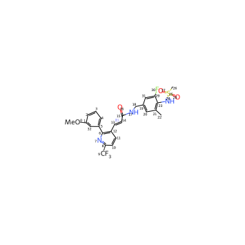 COc1cccc(-c2nc(C(F)(F)F)ccc2/C=C/C(=O)NCc2cc(C)c(NS(C)(=O)=O)c(F)c2)c1